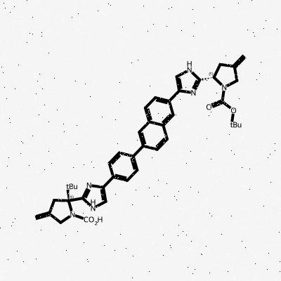 C=C1C[C@@H](c2nc(-c3ccc4cc(-c5ccc(-c6c[nH]c([C@@]7(C(C)(C)C)CC(=C)CN7C(=O)O)n6)cc5)ccc4c3)c[nH]2)N(C(=O)OC(C)(C)C)C1